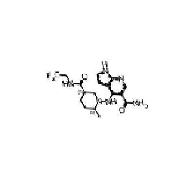 C[C@H]1CC[C@@H](C(=O)NCC(F)(F)F)CN1Nc1c(C(N)=O)cnc2[nH]ccc12